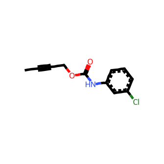 CC#CCOC(=O)Nc1cccc(Cl)c1